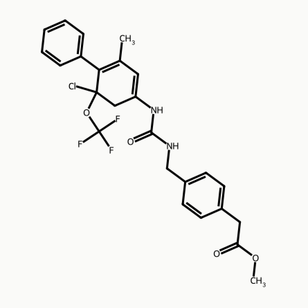 COC(=O)Cc1ccc(CNC(=O)NC2=CC(C)=C(c3ccccc3)C(Cl)(OC(F)(F)F)C2)cc1